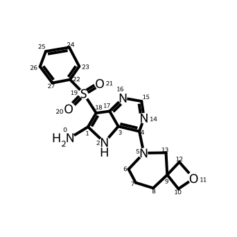 Nc1[nH]c2c(N3CCCC4(COC4)C3)ncnc2c1S(=O)(=O)c1ccccc1